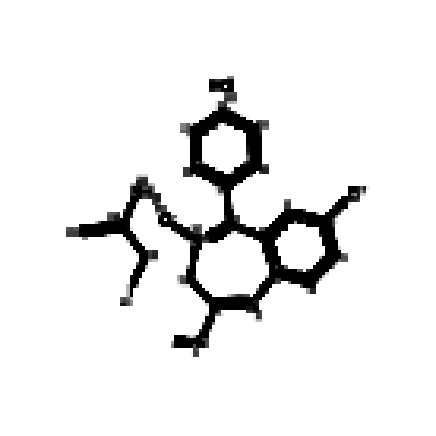 CNC1=Nc2ccc(Cl)cc2C(c2ccccc2)=[N+]([O-])C1.Cl.NC(=O)CI